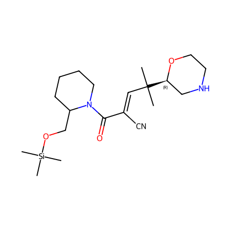 CC(C)(C=C(C#N)C(=O)N1CCCCC1CO[Si](C)(C)C)[C@@H]1CNCCO1